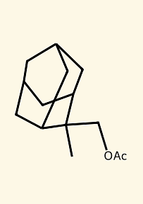 CC(=O)OCC1(C)C2CC3CC(C2)CC1C3